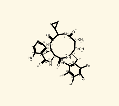 C[C@H]1NC(=O)C(C2CC2)NC(=O)[C@H](C)[C@H](O)[C@H](Cc2c(F)c(F)c(F)c(F)c2F)NC(=O)[C@H]1NC(=O)c1ccccc1O